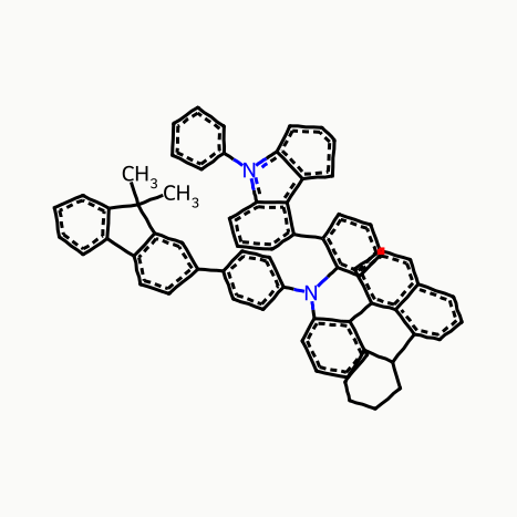 CC1(C)c2ccccc2-c2ccc(-c3ccc(N(c4ccccc4-c4cccc5cccc(C6CCCCC6)c45)c4ccccc4-c4cccc5c4c4ccccc4n5-c4ccccc4)cc3)cc21